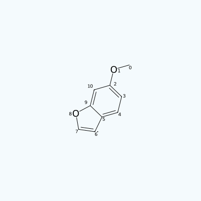 COc1ccc2[c]coc2c1